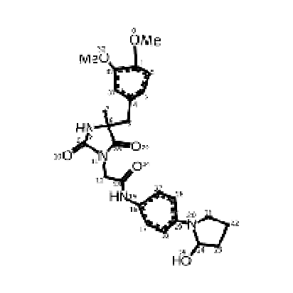 COc1ccc(CC2(C)NC(=O)N(CC(=O)Nc3ccc(N4CCCC4O)cc3)C2=O)cc1OC